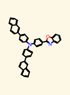 c1ccc2cc(-c3ccc(N(c4ccc(-c5ccc6ccccc6c5)cc4)c4ccc(-c5nc6ccccc6o5)cc4)cc3)ccc2c1